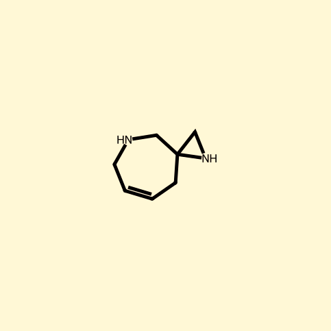 C1=CCC2(CNC1)CN2